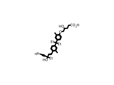 CCCC#CC(O)(/C=C/c1ccc(C(CC)(CC)c2ccc(OCC(O)CCC(=O)O)c(C)c2)cc1C)CC